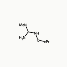 CCCONC(N)NC